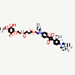 CCN(CC)c1ccc(C2=C(O)C(C3C=CC(N(CC)CCOC(=O)CCC(=O)OCCOC4=CC(O)C(OC)=CC4=O)C=C3)C2=O)c(C)c1